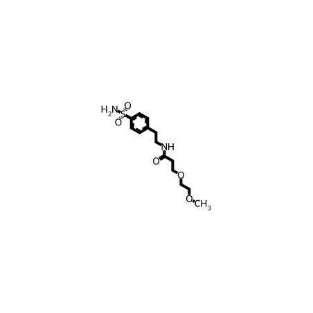 COCCOCCC(=O)NCCc1ccc(S(N)(=O)=O)cc1